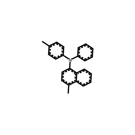 Cc1ccc(N(c2ccccc2)c2ccc(C)c3ccccc23)cc1